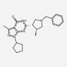 Cc1nn(C2CCCC2)c2nc([C@@H]3CN(Cc4ccccc4)C[C@H]3C)[nH]c(=O)c12